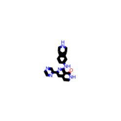 O=c1[nH]ccc2cc(-c3cnccn3)nc(Nc3ccc4c(c3)C3CNCC4C3)c12